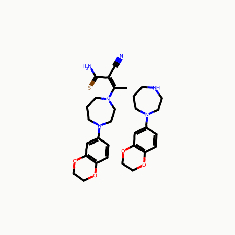 CC(=C(C#N)C(N)=S)N1CCCN(c2ccc3c(c2)OCCO3)CC1.c1cc2c(cc1N1CCCNCC1)OCCO2